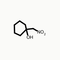 O=[N+]([O-])CC1(O)CCCCC1